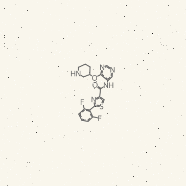 O=C(Nc1cncnc1OC1CCCNC1)c1csc(-c2c(F)cccc2F)n1